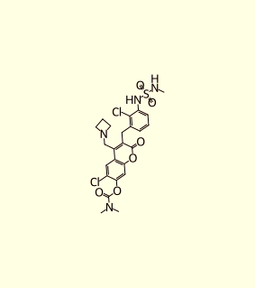 CNS(=O)(=O)Nc1cccc(Cc2c(CN3CCC3)c3cc(Cl)c(OC(=O)N(C)C)cc3oc2=O)c1Cl